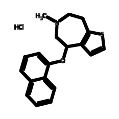 CN1CCc2sccc2C(Oc2cccc3ccccc23)C1.Cl